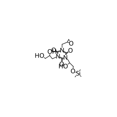 C[Si](C)(C)OCC(O)Cn1c(=O)n(CC(O)CO)c(=O)n(CC2CO2)c1=O